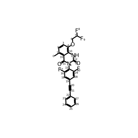 Cc1ccc(OCC(F)F)c2[nH]c(=O)n(-c3c(F)cc(C#Cc4ccccc4)cc3F)c(=O)c12